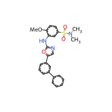 COc1ccc(S(=O)(=O)N(C)C)cc1Nc1ncc(-c2cccc(-c3ccccc3)c2)o1